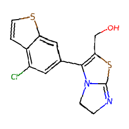 OCC1=C(c2cc(Cl)c3ccsc3c2)N2CCN=C2S1